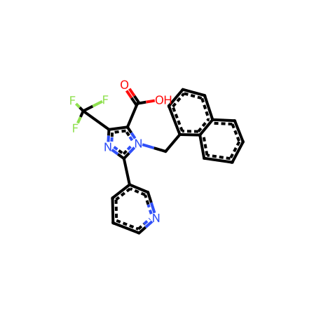 O=C(O)c1c(C(F)(F)F)nc(-c2cccnc2)n1Cc1cccc2ccccc12